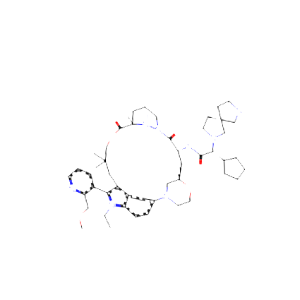 CCn1c(-c2cccnc2[C@H](C)OC)c2c3cc(ccc31)N1CCO[C@@H](C[C@H](NC(=O)[C@H](C3CCCC3)N3CC[C@]4(CCNC4)C3)C(=O)N3CCC[C@H](N3)C(=O)OCC(C)(C)C2)C1